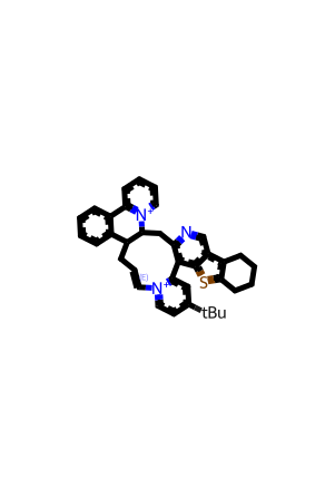 CC(C)(C)c1cc[n+]2c(c1)-c1c(ncc3c4c(sc13)CCCC4)CC1C(C/C=C/2)c2ccccc2-c2cccc[n+]21